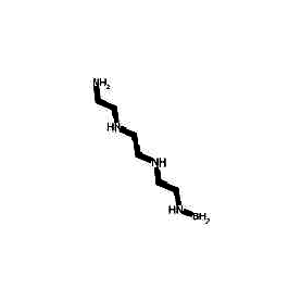 BNCCNCCNCCN